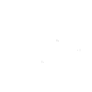 O=C(CCl)N(c1ccccc1)C1CCN(Cc2ccccc2)CC1